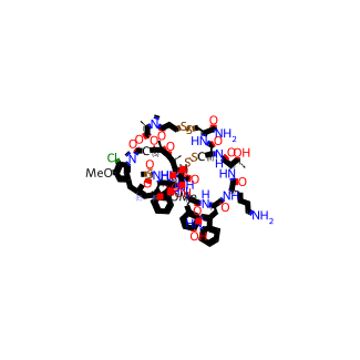 COc1cc2cc(c1Cl)N(C)C(=O)C[C@H](OC(=O)[C@H](C)N(C)C(=O)CCSSC[C@H](NC(=O)[C@@H]1CSSC[C@H](NC(=O)[C@@H](Cc3ccccc3)NS(C)(=O)=O)C(=O)N[C@@H](Cc3ccc(O)cc3)C(=O)N[C@H](Cc3c[nH]c4ccccc34)C(=O)N[C@@H](CCCCN)C(=O)N[C@@H]([C@@H](C)O)C(=O)N1)C(N)=O)[C@]1(C)OC1[C@H](C)[C@@H]1C[C@@](O)(NC(=O)O1)[C@H](OC)/C=C/C=C(\C)C2